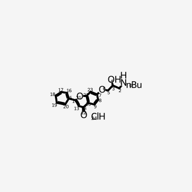 CCCCNCC(O)COc1ccc2c(=O)cc(-c3ccccc3)oc2c1.Cl